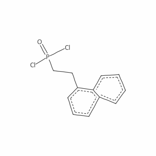 O=P(Cl)(Cl)CCc1cccc2ccccc12